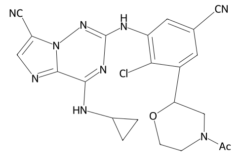 CC(=O)N1CCOC(c2cc(C#N)cc(Nc3nc(NC4CC4)c4ncc(C#N)n4n3)c2Cl)C1